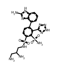 NCC(N)CNS(=O)(=O)c1ccc(-c2cccc3[nH]c(N)nc23)c(-c2nn[nH]n2)c1S(N)(=O)=O